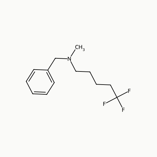 CN(CCCCC(F)(F)F)Cc1ccccc1